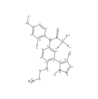 COc1ccc(N(C(=O)C(F)(F)F)c2ccc(OCCN)c(-c3c(Cl)cnn3C)c2)c(F)c1